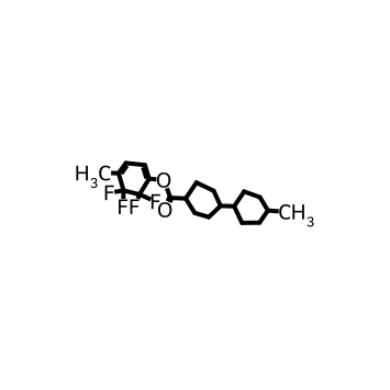 CC1=CC=C(OC(=O)C2CCC(C3CCC(C)CC3)CC2)C(F)(F)C1(F)F